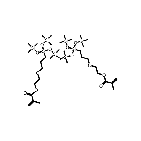 C=C(C)C(=O)OCCOCCC[Si](O[Si](C)(C)C)(O[Si](C)(C)C)O[Si](C)(C)O[Si](C)(C)O[Si](CCCOCCOC(=O)C(=C)C)(O[Si](C)(C)C)O[Si](C)(C)C